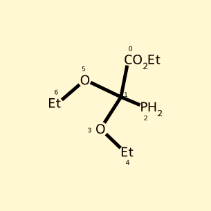 CCOC(=O)C(P)(OCC)OCC